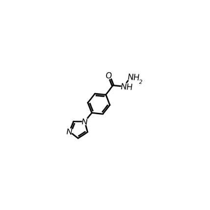 NNC(=O)c1ccc(-n2ccnc2)cc1